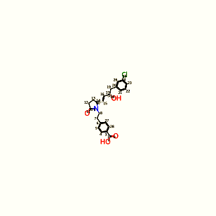 O=C(O)c1ccc(CCN2C(=O)CC[C@@H]2C=C[C@@H](O)Cc2cccc(Cl)c2)cc1